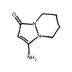 Nc1cc(=O)n2n1CCCC2